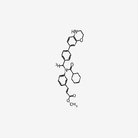 [2H]C(c1ccc(-c2ccc3c(c2)OCCN3)cc1)N(C(=O)C1CCCCC1)c1cccc(/C=C/C(=O)OC)c1